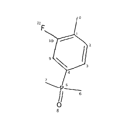 Cc1ccc(P(C)(C)=O)cc1F